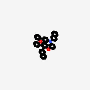 C1=C=CC2CC(N(C3=c4c(oc5c(-c6ccc7ccccc7c6)c6c(cc45)oc4ccccc46)=CCC3)c3ccc(-c4ccccc4)cc3)=CC=C2C=1